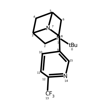 CC(C)(C)N1CC2CC(C1)N2Cc1ccc(C(F)(F)F)nc1